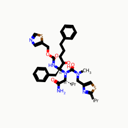 CC(C)c1nc(CN(C)C(=O)N([C@@H](C(N)=O)C(C)C)[C@](Cc2ccccc2)(NC(=O)OCc2cncs2)C(O)CCCc2ccccc2)cs1